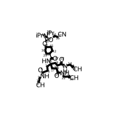 C#CCNC(=O)CCC(CCC(=O)NCC#C)(CCC(=O)NCC#C)NC(=O)[C@H]1CC[C@H](OP(OCCC#N)N(C(C)C)C(C)C)CC1